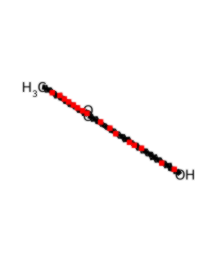 CCCCCCCCC=CCCCCCCCCCC(=O)OCCCCCCCCCCCCCCCCCCCCCCCCCCCCCCCCCCCCCCCO